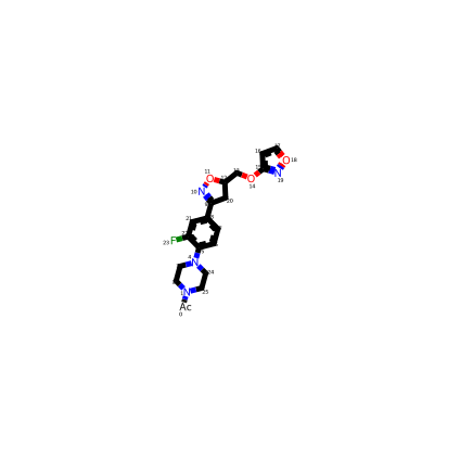 CC(=O)N1CCN(c2ccc(C3=NOC(COc4ccon4)C3)cc2F)CC1